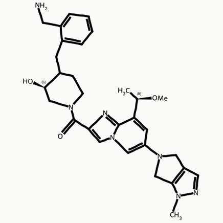 CO[C@H](C)c1cc(N2Cc3cnn(C)c3C2)cn2cc(C(=O)N3CCC(Cc4ccccc4CN)[C@H](O)C3)nc12